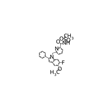 COc1cc2cc(-c3ccccc3)n(Cc3cccc(C(=O)NS(C)(=O)=O)n3)c2cc1F